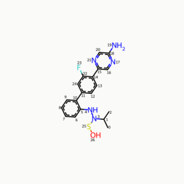 CC(C)N(Nc1ccccc1-c1ccc(-c2cnc(N)cn2)c(F)c1)SO